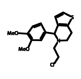 COc1ccc(C2c3ccsc3CCN2CCCl)cc1OC